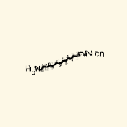 [CH2]CCCCCCCCCCCCCCCCCCCCCN